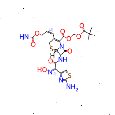 CNC(=O)OC/C=C\C1=C(C(=O)OCOC(=O)C(C)(C)C)N2C(=O)C(NC(=O)/C(=N\O)c3csc(N)n3)[C@@H]2SC1